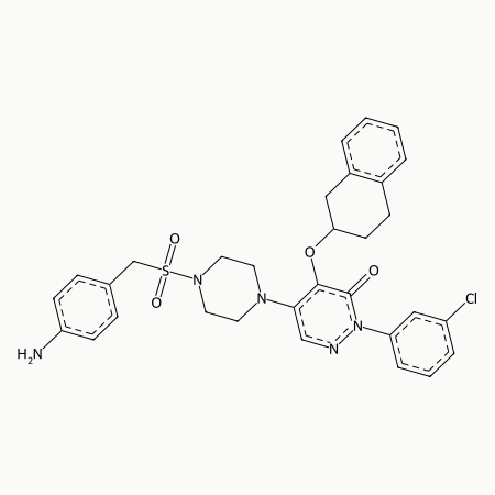 Nc1ccc(CS(=O)(=O)N2CCN(c3cnn(-c4cccc(Cl)c4)c(=O)c3OC3CCc4ccccc4C3)CC2)cc1